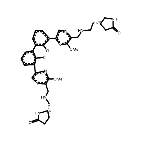 COc1nc(-c2cccc(-c3cccc(-c4cnc(CNC[C@@H]5CCC(=O)N5)c(OC)n4)c3Cl)c2Cl)cnc1CNCC[C@@H]1CNC(=O)C1